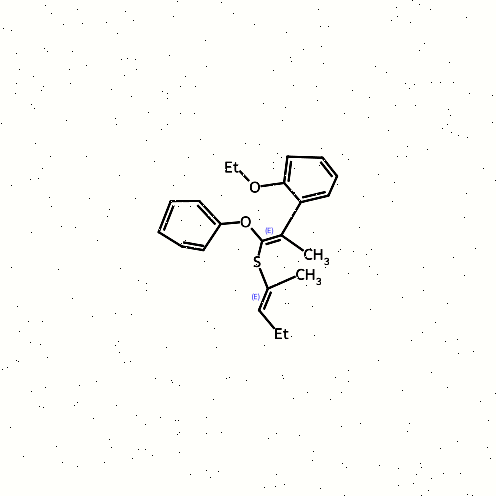 CC/C=C(\C)S/C(Oc1ccccc1)=C(\C)c1ccccc1OCC